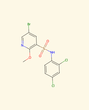 COc1ncc(Br)cc1S(=O)(=O)Nc1ccc(Cl)cc1Cl